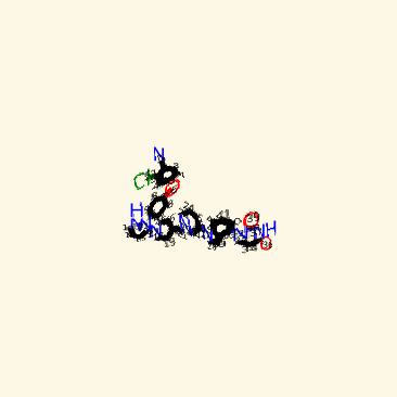 N#Cc1ccc(OC2CCC(N3NC=CC=C3N3CCC(CN4CCC[C@H](n5ccc6c(N7CCC(=O)NC7=O)cccc65)C4)CC3)CC2)cc1Cl